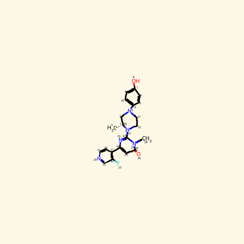 C[C@@H]1CN(c2ccc(O)cc2)CCN1c1nc(-c2ccncc2F)cc(=O)n1C